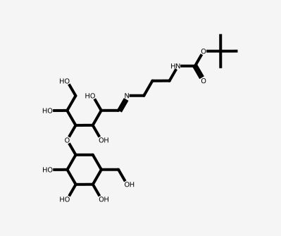 CC(C)(C)OC(=O)NCCC/N=C/C(O)C(O)C(OC1CC(CO)C(O)C(O)C1O)C(O)CO